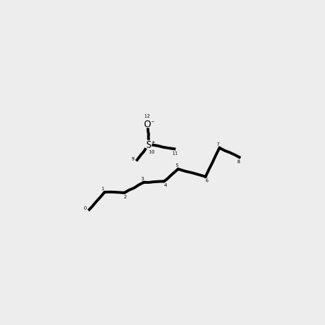 CCCCCCCCC.C[S+](C)[O-]